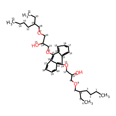 CCCCC(CC)COCC(O)COc1c2ccccc2c(OCC(O)COCC(CC)CCCC)c2ccccc12